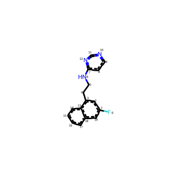 Fc1cc(CCNc2ccncn2)c2ccccc2c1